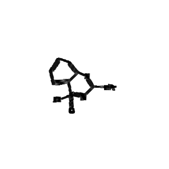 CCCC1=Nc2ccccc2S(=O)(CC)=N1